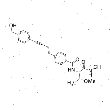 CO[C@H](C)[C@H](NC(=O)c1ccc(/C=C/C#Cc2ccc(CO)cc2)cc1)C(=O)NO